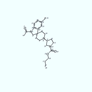 CC(=O)N1CC2(CCN(C3CCN(C(=O)OCCF)C3)CC2)c2cc(F)ccc21